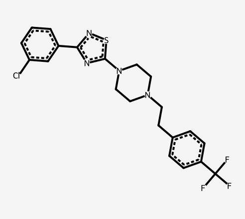 FC(F)(F)c1ccc(CCN2CCN(c3nc(-c4cccc(Cl)c4)ns3)CC2)cc1